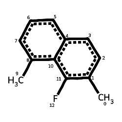 Cc1ccc2cccc(C)c2c1F